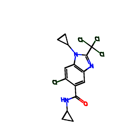 O=C(NC1CC1)c1cc2nc(C(Cl)(Cl)Cl)n(C3CC3)c2cc1Cl